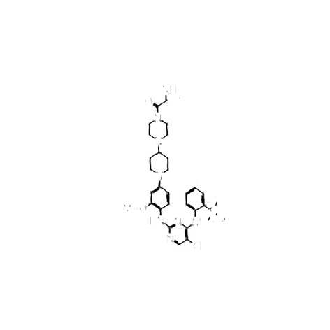 COc1cc(N2CCC(N3CCN(C(=O)CN)CC3)CC2)ccc1Nc1ncc(Cl)c(Nc2ccccc2P(C)(C)=O)n1